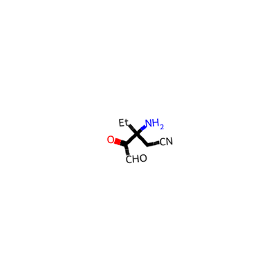 CCC(N)(CC#N)C(=O)C=O